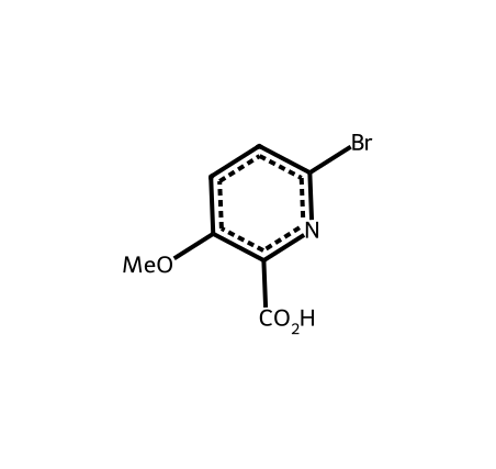 COc1ccc(Br)nc1C(=O)O